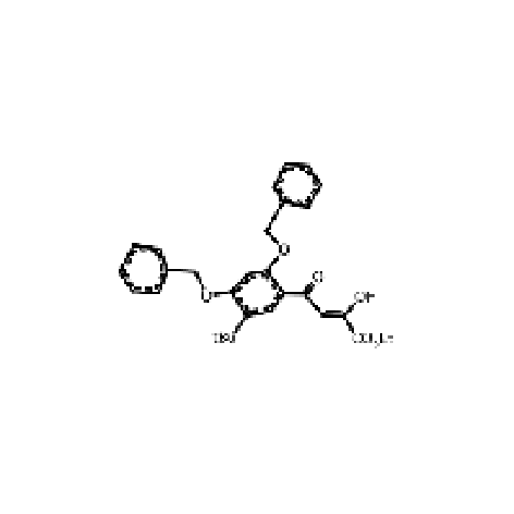 CCOC(=O)C(O)=CC(=O)c1cc(C(C)(C)C)c(OCc2ccccc2)cc1OCc1ccccc1